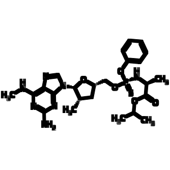 CNc1nc(N)nc2c1ncn2[C@@H]1O[C@H](CO[P@@](=S)(N[C@@H](C)C(=O)OC(C)C)Oc2ccccc2)C[C@@H]1C